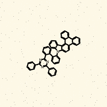 c1ccc(-c2nc(-c3ccccc3)nc(-c3ccccc3-c3ccccc3-n3c4ccccc4c4c5c6ccccc6c6ccccc6c5ccc43)n2)cc1